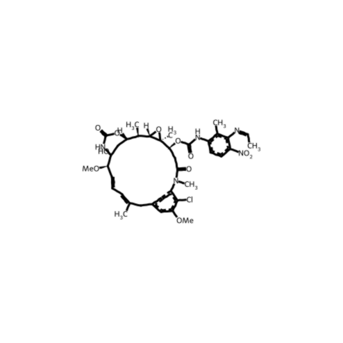 C/C=N\c1c([N+](=O)[O-])ccc(NC(=O)O[C@H]2CC(=O)N(C)c3cc(cc(OC)c3Cl)C/C(C)=C/C=C/[C@@H](OC)[C@@]3(O)C[C@H](OC(=O)N3)[C@@H](C)[C@@H]3O[C@@]23C)c1C